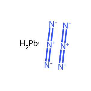 [N-]=[N+]=[N-].[N-]=[N+]=[N-].[PbH2]